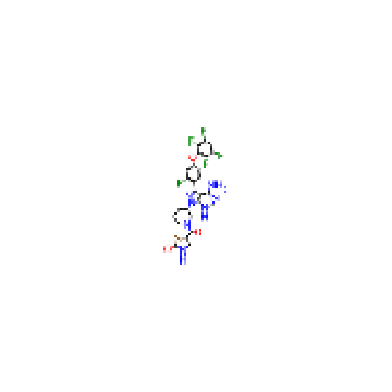 NC1=NCNc2c1c(-c1ccc(Oc3c(F)c(F)cc(F)c3F)cc1F)nn2C1CCCN(C(=O)C2CNC(=O)S2)C1